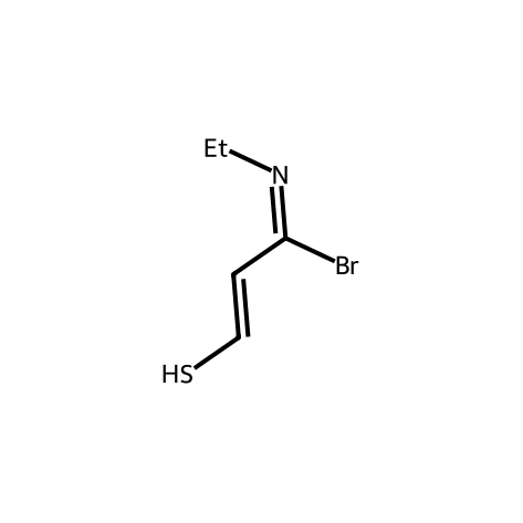 CC/N=C(Br)\C=C\S